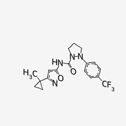 CC1(c2cc(NC(=O)N3CCCN3c3ccc(C(F)(F)F)cc3)on2)CC1